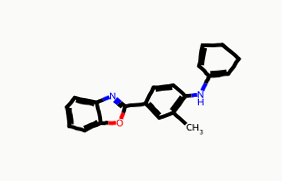 Cc1cc(-c2nc3ccccc3o2)ccc1NC1=CCCC=C1